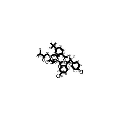 CCOc1cc(C(C)(C)C)ccc1C1=N[C@@](C)(c2ccc(Cl)cc2)[C@@](C)(c2ccc(Cl)cc2)N1C(=O)N1CCN(CC(=O)C(C)C)C(=O)C1